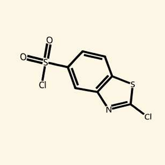 O=S(=O)(Cl)c1ccc2sc(Cl)nc2c1